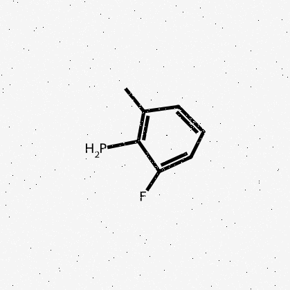 Cc1cccc(F)c1P